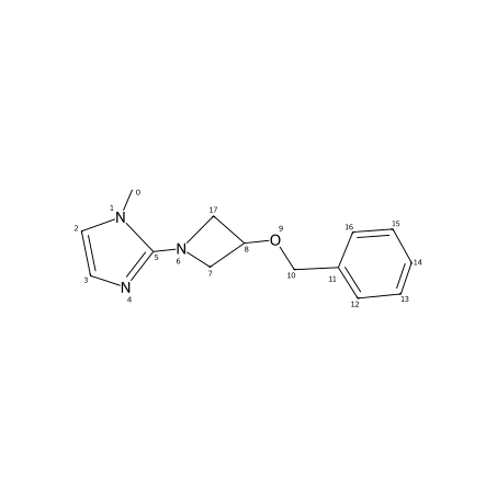 Cn1ccnc1N1CC(OCc2ccccc2)C1